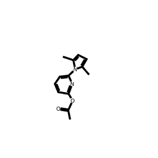 CC(=O)Oc1cccc(-n2c(C)ccc2C)n1